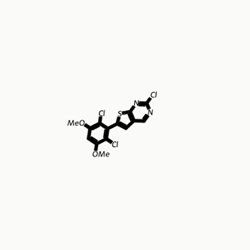 COc1cc(OC)c(Cl)c(-c2cc3cnc(Cl)nc3s2)c1Cl